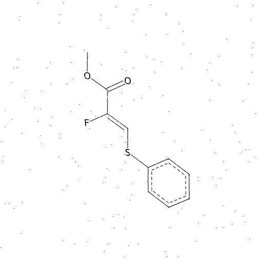 COC(=O)/C(F)=C/Sc1ccccc1